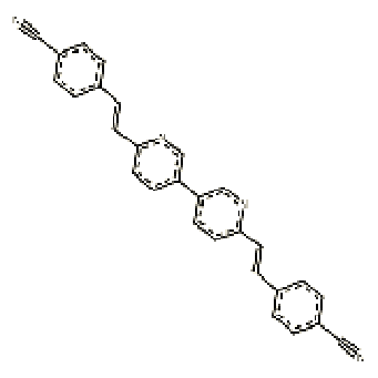 N#Cc1ccc(C=Cc2ccc(-c3ccc(C=Cc4ccc(C#N)cc4)nc3)cn2)cc1